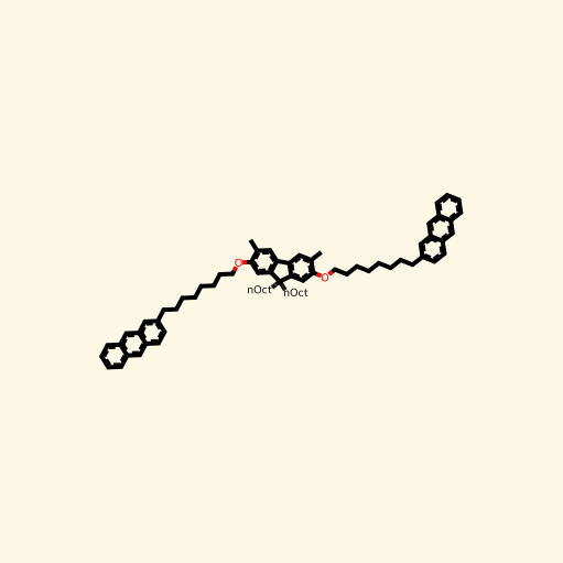 CCCCCCCCC1(CCCCCCCC)c2cc(OCCCCCCCCc3ccc4cc5ccccc5cc4c3)c(C)cc2-c2cc(C)c(OCCCCCCCCc3ccc4cc5ccccc5cc4c3)cc21